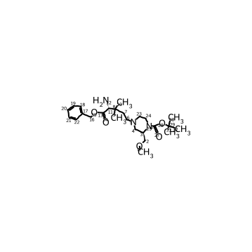 COC[C@H]1CN(CCC(C)(C)[C@@H](N)C(=O)OCc2ccccc2)CCN1C(=O)OC(C)(C)C